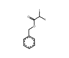 O=C(OCc1ccccc1)C(I)I